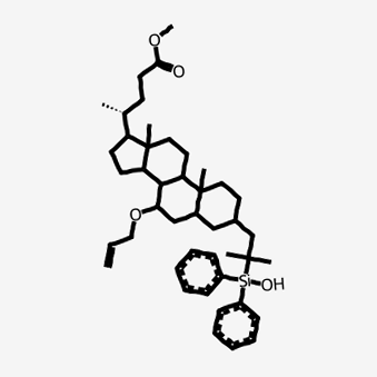 C=CCOC1CC2CC(CC(C)(C)[Si](O)(c3ccccc3)c3ccccc3)CCC2(C)C2CCC3(C)C(CCC3[C@H](C)CCC(=O)OC)C12